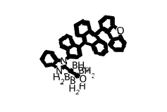 BC(B)(O)C(B)(B)c1nc2ccccc2n1-c1ccc(-c2c3ccccc3c(-c3cccc4oc5ccccc5c34)c3ccccc23)c2ccccc12